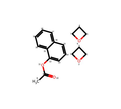 C1COC1.C1COC1.CC(=O)Oc1cccc2ccccc12